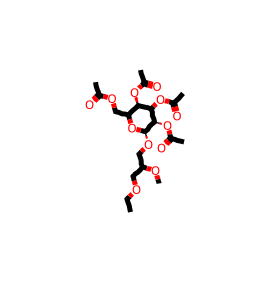 CCOCC(CO[C@@H]1OC(COC(C)=O)[C@@H](OC(C)=O)C(OC(C)=O)[C@@H]1OC(C)=O)OC